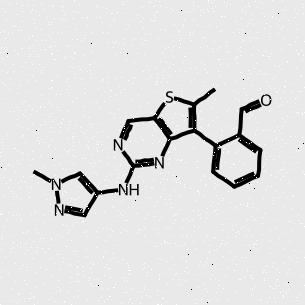 Cc1sc2cnc(Nc3cnn(C)c3)nc2c1-c1ccccc1C=O